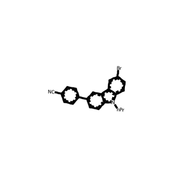 CCCn1c2ccc(Br)cc2c2cc(-c3ccc(C#N)cc3)ccc21